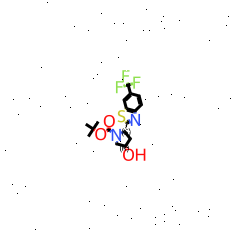 CC(C)(C)OC(=O)N1C[C@H](O)C[C@H]1c1nc2ccc(C(F)(F)F)cc2s1